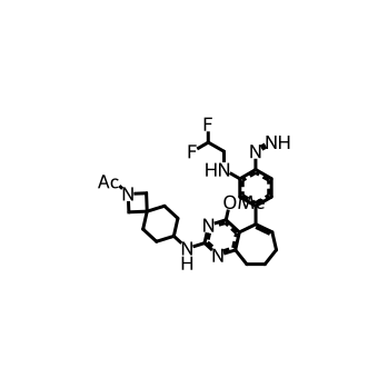 COc1nc(NC2CCC3(CC2)CN(C(C)=O)C3)nc2c1C(c1ccc(N=N)c(NCC(F)F)c1)=CCCC2